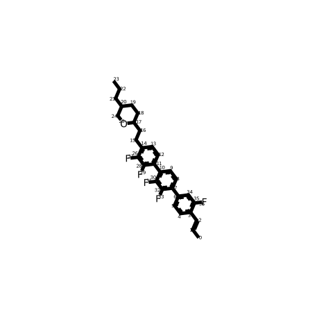 C/C=C/c1ccc(-c2ccc(-c3ccc(CCC4CCC(CCC)CO4)c(F)c3F)c(F)c2F)cc1F